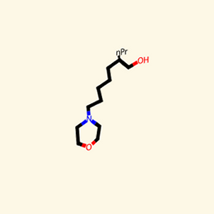 CCC[C@@H](CO)CCCCCN1CCOCC1